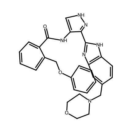 O=C(Nc1c[nH]nc1-c1nc2cc(CN3CCOCC3)ccc2[nH]1)c1ccccc1COc1ccccc1